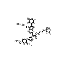 CCCOc1ccc(-c2cc(C(C(=O)OCCCCN(C)C)N3Cc4nc(-c5cccc(F)c5F)[nH]c4C=N3)on2)c(C(F)(F)F)c1.Cl.Cl